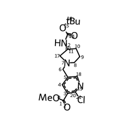 COC(=O)c1cc(CN2CCC[C@@H](NC(=O)OC(C)(C)C)C2)cnc1Cl